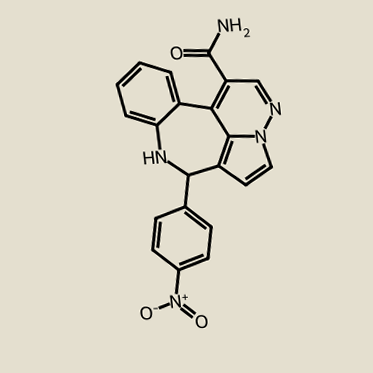 NC(=O)c1cnn2ccc3c2c1-c1ccccc1NC3c1ccc([N+](=O)[O-])cc1